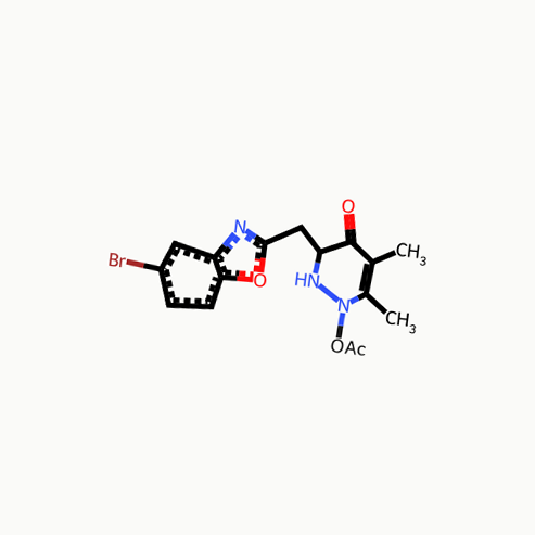 CC(=O)ON1NC(Cc2nc3cc(Br)ccc3o2)C(=O)C(C)=C1C